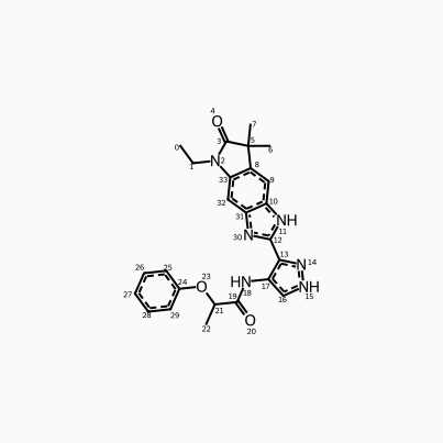 CCN1C(=O)C(C)(C)c2cc3[nH]c(-c4n[nH]cc4NC(=O)C(C)Oc4ccccc4)nc3cc21